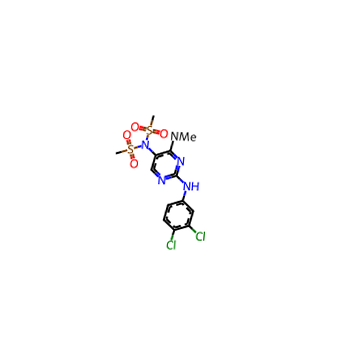 CNc1nc(Nc2ccc(Cl)c(Cl)c2)ncc1N(S(C)(=O)=O)S(C)(=O)=O